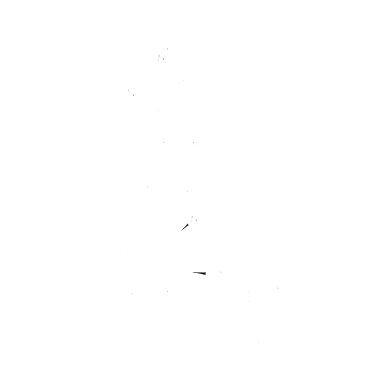 Cc1nc2cc(CC(=O)N[C@@H]3COCC[C@@H]3OCC(=O)O)ccc2[nH]1